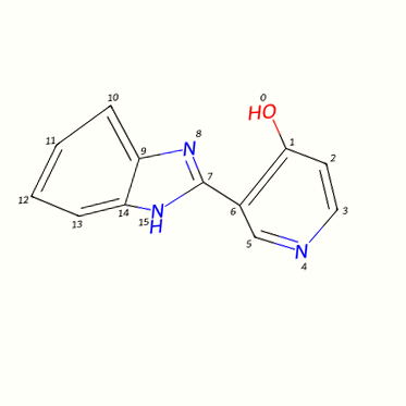 Oc1ccncc1-c1nc2ccccc2[nH]1